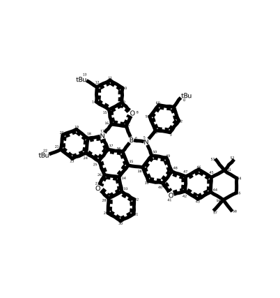 CC(C)(C)c1ccc(N2B3c4oc5ccc(C(C)(C)C)cc5c4-n4c5ccc(C(C)(C)C)cc5c5c6oc7ccccc7c6c(c3c54)-c3cc4oc5cc6c(cc5c4cc32)C(C)(C)CCC6(C)C)cc1